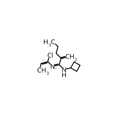 C=C(CCC)/C(=N\C(Cl)=C/C)NC1CCC1